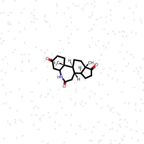 C[C@]12CCC(=O)CC1NC(=O)C[C@@H]1[C@@H]2CC[C@]2(C)C(=O)CC[C@@H]12